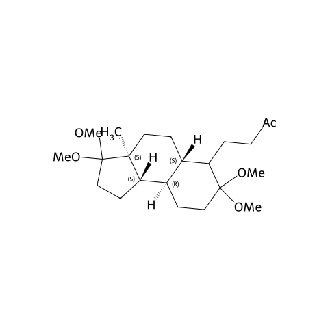 COC1(OC)CC[C@@H]2[C@H](CC[C@@]3(C)[C@H]2CCC3(OC)OC)C1CCC(C)=O